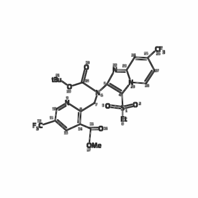 CCS(=O)(=O)c1c(N(Cc2ncc(C(F)(F)F)cc2C(=O)OC)C(=O)OC(C)(C)C)nc2cc(C(F)(F)F)ccn12